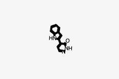 O=c1[nH]nccc1-c1cc2ccccc2[nH]1